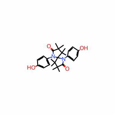 CC1(C)C(=O)N(c2ccc(O)cc2)C2(N(c3ccc(O)cc3)C(=O)C(C)(C)C2(C)C)C1(C)C